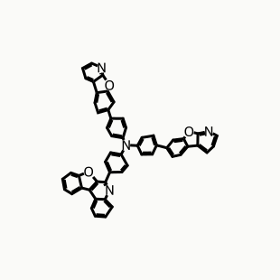 c1ccc2c(c1)nc(-c1ccc(N(c3ccc(-c4ccc5c(c4)oc4ncccc45)cc3)c3ccc(-c4ccc5c(c4)oc4ncccc45)cc3)cc1)c1oc3ccccc3c12